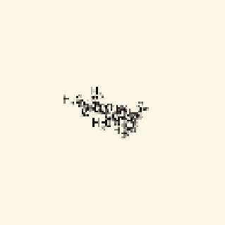 COCC(=O)N1C[C@@H](NC(=O)c2c(C)[nH]c3c(-c4cc(F)ccc4OCC4CC4)ncnc23)C[C@@H]1C